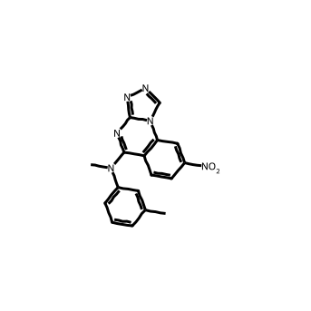 Cc1cccc(N(C)c2nc3nncn3c3cc([N+](=O)[O-])ccc23)c1